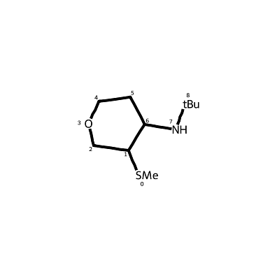 CSC1COCCC1NC(C)(C)C